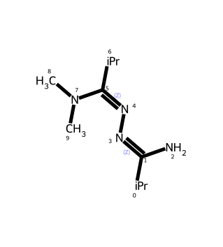 CC(C)/C(N)=N/N=C(/C(C)C)N(C)C